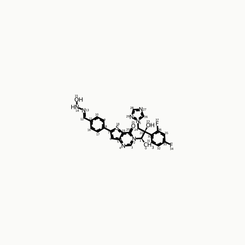 C[C@@H](n1cnc2cc(-c3ccc(C=NNO)cc3)sc2c1=O)[C@](O)(Cn1cncn1)c1ccc(F)cc1F